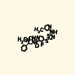 Cc1ccnc(Nc2ncc(Sc3ccnc(C(=O)NCC(c4ccccc4)N(C)C)c3F)s2)c1